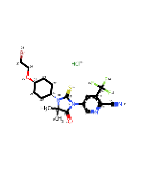 CC1(C)C(=O)N(c2cnc(C#N)c(C(F)(F)F)c2)C(=S)N1[C@H]1CC[C@H](OCCBr)CC1.Cl